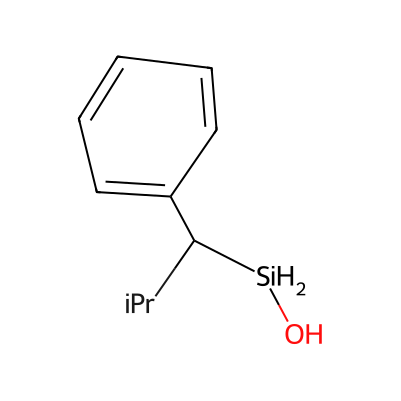 CC(C)C([SiH2]O)c1ccccc1